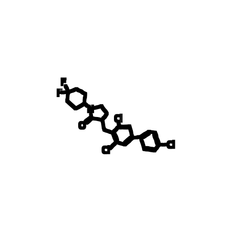 O=C1C(Cc2c(Cl)cc(-c3ccc(Cl)cc3)cc2Cl)CCN1C1CCC(F)(F)CC1